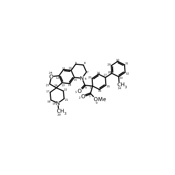 COC(=O)C1(C(=O)N2CCCc3cc4c(cc32)C2(CCN(C)CC2)CO4)C=CC(c2ccccc2C)C=C1